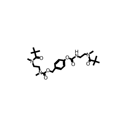 CN(CCN(C)C(=O)C(C)(C)C)C(=O)OCc1ccc(OC(=O)NCCN(C)C(=O)C(C)(C)C)cc1